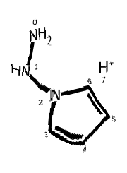 NNn1cccc1.[H+]